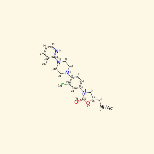 CC(=O)NC[C@H]1CN(c2ccc(N3CCN(c4ncccc4C)CC3)c(F)c2)C(=O)O1